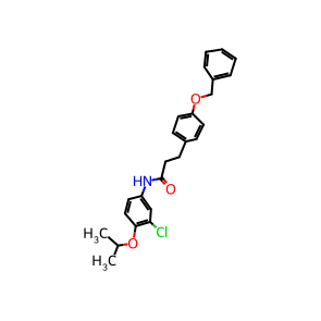 CC(C)Oc1ccc(NC(=O)CCc2ccc(OCc3ccccc3)cc2)cc1Cl